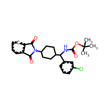 CC(C)(C)OC(=O)NC(c1cccc(Cl)c1)C1CCC(N2C(=O)c3ccccc3C2=O)CC1